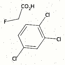 Clc1ccc(Cl)c(Cl)c1.O=C(O)CF